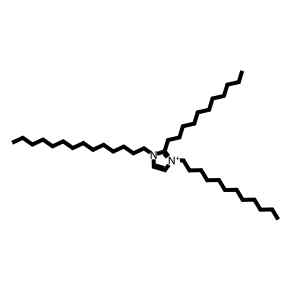 CCCCCCCCCCCCCCn1cc[n+](CCCCCCCCCCCC)c1CCCCCCCCCCC